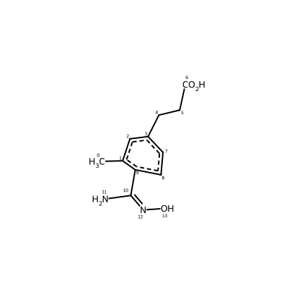 Cc1cc(CCC(=O)O)ccc1/C(N)=N\O